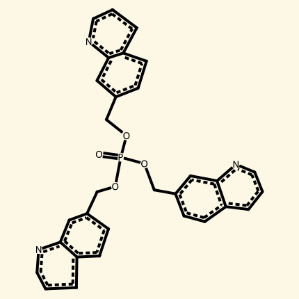 O=P(OCc1ccc2cccnc2c1)(OCc1ccc2cccnc2c1)OCc1ccc2cccnc2c1